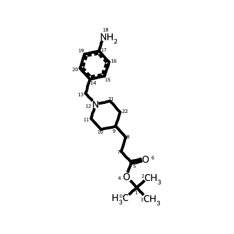 CC(C)(C)OC(=O)CCC1CCN(Cc2ccc(N)cc2)CC1